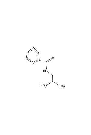 CCCCC(CNC(=O)c1ccccc1)C(=O)O